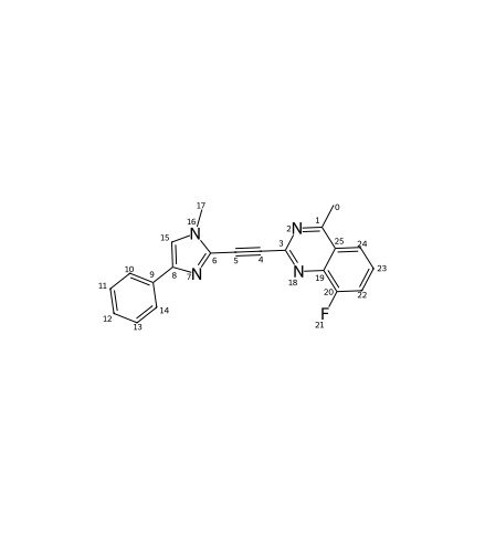 Cc1nc(C#Cc2nc(-c3ccccc3)cn2C)nc2c(F)cccc12